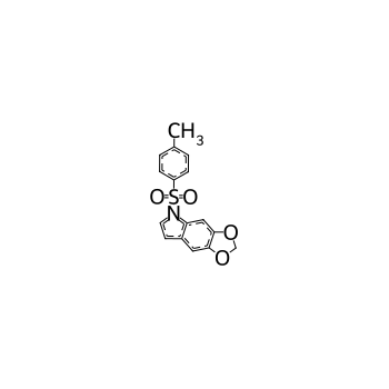 Cc1ccc(S(=O)(=O)n2ccc3cc4c(cc32)OCO4)cc1